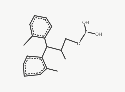 Cc1ccccc1C(c1ccccc1C)C(C)COP(O)O